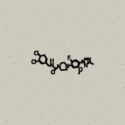 COc1cc(N2CCN(C(=O)NCC3=CCC(Cl)C(Cl)=C3)CC2)c(F)cc1-n1cnc(C)n1